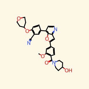 COc1cc(-c2cc3nccc(-c4ccc(OC5CCOCC5)c(C#N)c4)c3o2)ccc1C(=O)N1CCC(O)CC1